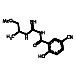 COCC(C)NC(=N)NC(=O)c1cc(C#N)ccc1O